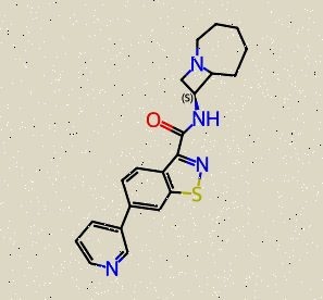 O=C(N[C@H]1CN2CCCCCC12)c1nsc2cc(-c3cccnc3)ccc12